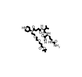 CNC(=O)[C@H](CCCNC(N)=O)NC(=O)[C@@H](NC(=O)CCC(=O)N(CCOCCOCCC(=O)OC(C)(C)C)C1CCNCC1)C(C)C